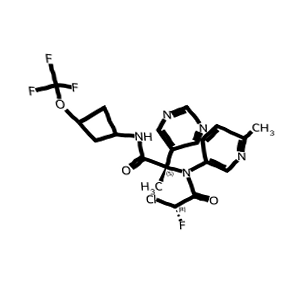 Cc1ccc(N(C(=O)[C@H](F)Cl)[C@](C)(C(=O)NC2CC(OC(F)(F)F)C2)c2cncnc2)cn1